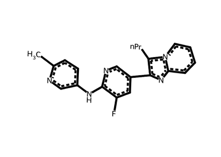 CCCc1c(-c2cnc(Nc3ccc(C)nc3)c(F)c2)nc2ccccn12